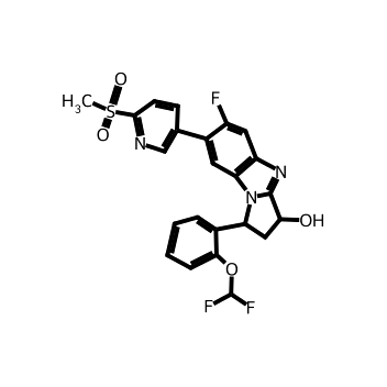 CS(=O)(=O)c1ccc(-c2cc3c(cc2F)nc2n3C(c3ccccc3OC(F)F)CC2O)cn1